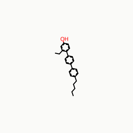 CCCCCc1ccc(-c2ccc(-c3ccc(O)cc3CC)cc2)cc1